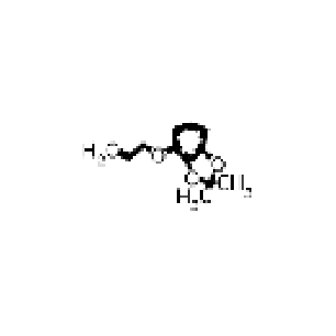 C=CCOc1cccc2c1OC(C)(C)O2